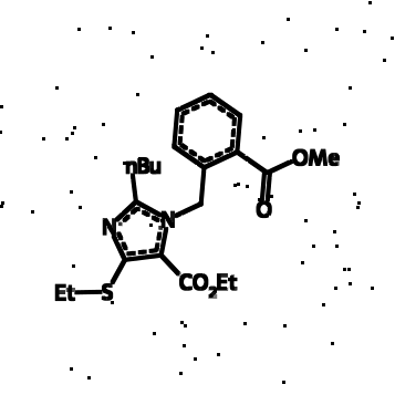 CCCCc1nc(SCC)c(C(=O)OCC)n1Cc1ccccc1C(=O)OC